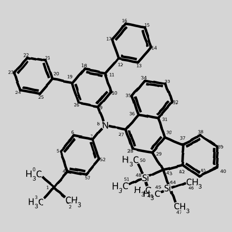 CC(C)(C)c1ccc(N(c2cc(-c3ccccc3)cc(-c3ccccc3)c2)c2cc3c(c4ccccc24)-c2ccccc2C3([Si](C)(C)C)[Si](C)(C)C)cc1